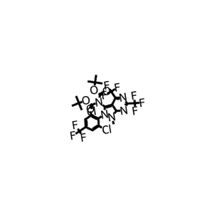 CN1C2N=C(C(F)(F)F)N=C(C(F)(F)F)C2=C(N(C(=O)OC(C)(C)C)C(=O)OC(C)(C)C)N1c1c(Cl)cc(C(F)(F)F)cc1Cl